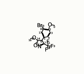 COc1ccc(C2C(C(F)(F)F)=NOC2OC)cc1Br